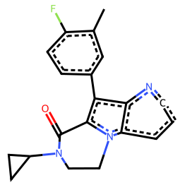 Cc1cc(-c2c3n(c4cccnc24)CCN(C2CC2)C3=O)ccc1F